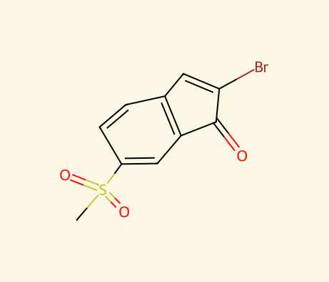 CS(=O)(=O)c1ccc2c(c1)C(=O)C(Br)=C2